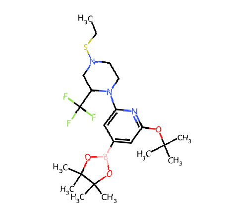 CCSN1CCN(c2cc(B3OC(C)(C)C(C)(C)O3)cc(OC(C)(C)C)n2)C(C(F)(F)F)C1